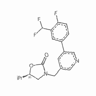 CC(C)[C@@H]1CN(Cc2cncc(-c3ccc(F)c(C(F)F)c3)c2)C(=O)O1